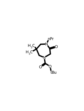 CCCN1CC(C)(C)CN(C(=O)OC(C)(C)C)CC1=O